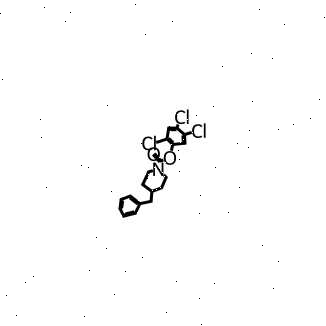 O=C(Oc1cc(Cl)c(Cl)cc1Cl)N1CCC(Cc2ccccc2)CC1